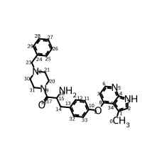 Cc1c[nH]c2nccc(Oc3ccc(CC(N)C(=O)N4CCN(Cc5ccccc5)CC4)cc3)c12